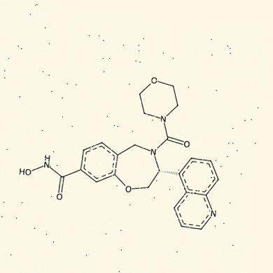 O=C(NO)c1ccc2c(c1)OC[C@@H](c1cccc3ncccc13)N(C(=O)N1CCOCC1)C2